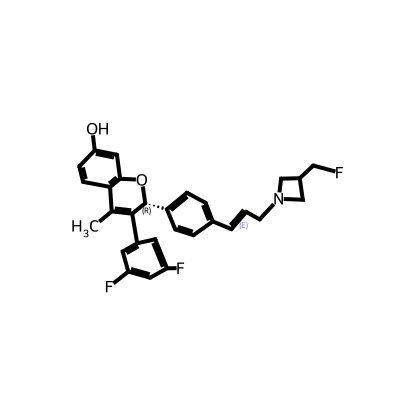 CC1=C(c2cc(F)cc(F)c2)[C@@H](c2ccc(/C=C/CN3CC(CF)C3)cc2)Oc2cc(O)ccc21